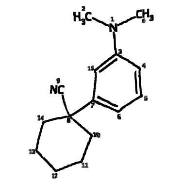 CN(C)c1cccc(C2(C#N)CCCCC2)c1